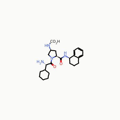 N[C@H](C(=O)N1C[C@@H](NC(=O)O)C[C@H]1C(=O)N[C@@H]1CCCc2ccccc21)C1CCCCC1